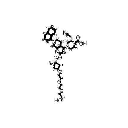 CN1C[C@H](OCCOCCOCCO)C[C@H]1COc1nc2c(c(N3CCN(C(=O)O)[C@@H](CC#N)C3)n1)CCN(c1cccc3ccccc13)C2